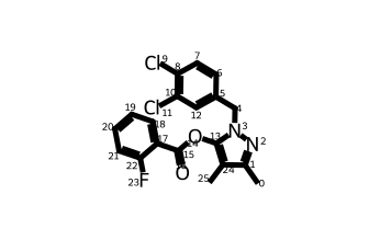 Cc1nn(Cc2ccc(Cl)c(Cl)c2)c(OC(=O)c2ccccc2F)c1C